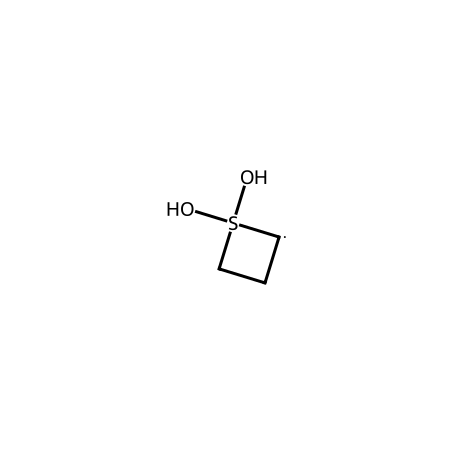 OS1(O)[CH]CC1